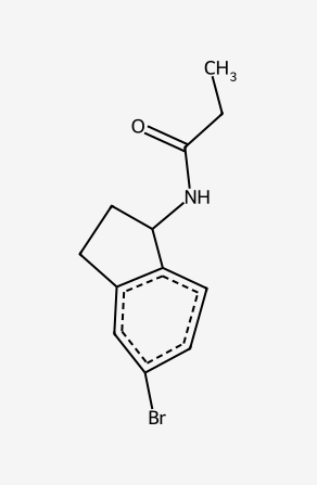 CCC(=O)NC1CCc2cc(Br)ccc21